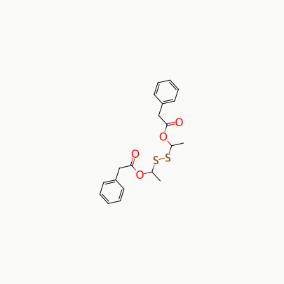 CC(OC(=O)Cc1ccccc1)SSC(C)OC(=O)Cc1ccccc1